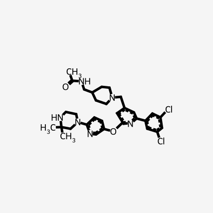 CC(=O)NCC1CCN(Cc2cc(Oc3ccc(N4CCNC(C)(C)C4)nc3)nc(-c3cc(Cl)cc(Cl)c3)c2)CC1